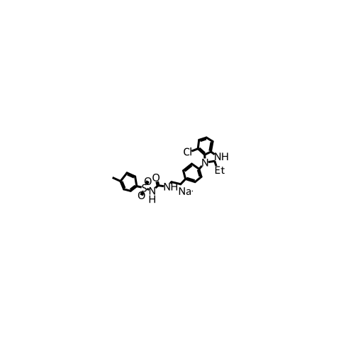 CCC1Nc2cccc(Cl)c2N1c1ccc(CCNC(=O)NS(=O)(=O)c2ccc(C)cc2)cc1.[Na]